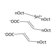 CCCCCCCCC=CC(=O)[O-].CCCCCCCCC=CC(=O)[O-].CCCCCCC[CH2][Sn+2][CH2]CCCCCCC